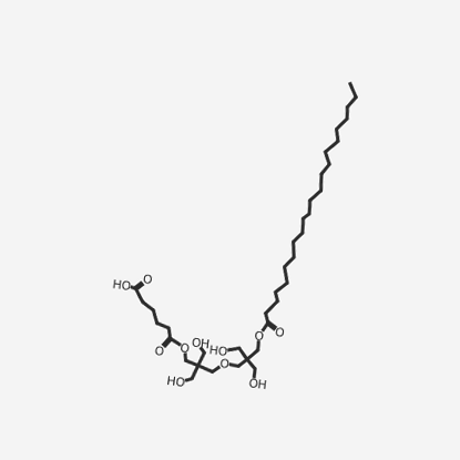 CCCCCCCCCCCCCCCCCCCCCC(=O)OCC(CO)(CO)COCC(CO)(CO)COC(=O)CCCCC(=O)O